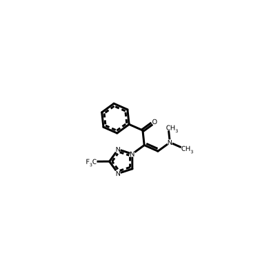 CN(C)/C=C(\C(=O)c1ccccc1)n1cnc(C(F)(F)F)n1